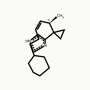 C[C@H](/C=C\CCC1CCCCC1)C1(c2c[nH]cn2)CC1